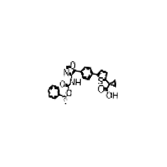 C[C@@H](OC(=O)Nc1ncoc1-c1ccc(-c2ccc(C3(C(=O)O)CC3)s2)cc1)c1ccccc1